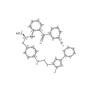 Cc1oc(-c2ccccc2)nc1CCOc1ccc(C[C@H](Nc2ccccc2C(=O)c2ccc[n+]([O-])c2)C(=O)O)cc1